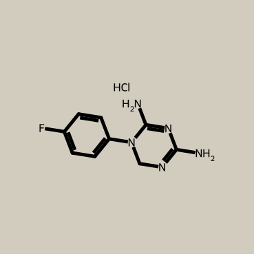 Cl.NC1=NCN(c2ccc(F)cc2)C(N)=N1